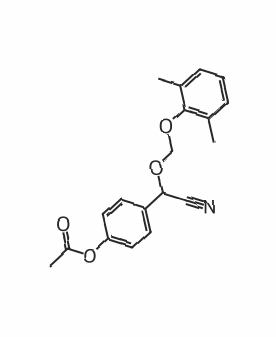 CC(=O)Oc1ccc(C(C#N)OCOc2c(C)cccc2C)cc1